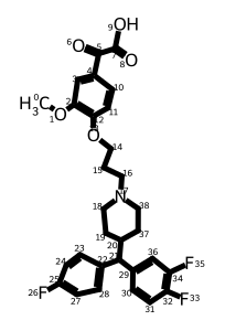 COc1cc(C(=O)C(=O)O)ccc1OCCCN1CCC(C(c2ccc(F)cc2)c2ccc(F)c(F)c2)CC1